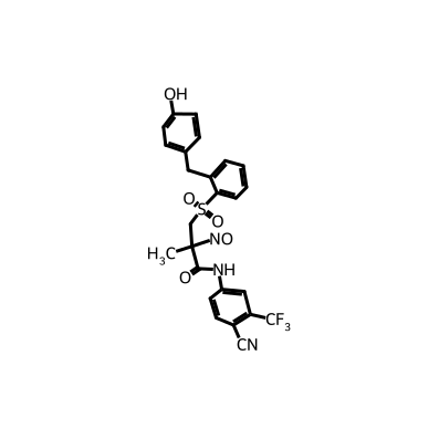 CC(CS(=O)(=O)c1ccccc1Cc1ccc(O)cc1)(N=O)C(=O)Nc1ccc(C#N)c(C(F)(F)F)c1